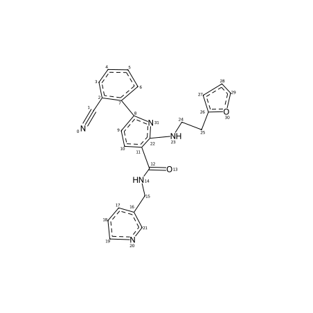 N#Cc1ccccc1-c1ccc(C(=O)NCc2cccnc2)c(NCCc2ccco2)n1